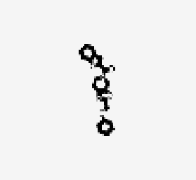 O=C(c1cc2ccccc2o1)N1CCc2nc(COc3ccccc3)oc2C1